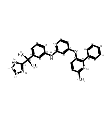 Cc1ccc(Oc2ccnc(Nc3cccc(C(C)(C)c4nnn[nH]4)c3)c2)c(-c2ccccc2)n1